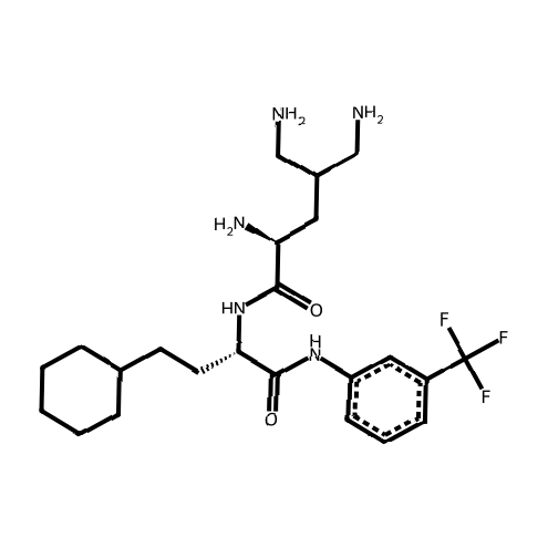 NCC(CN)C[C@H](N)C(=O)N[C@@H](CCC1CCCCC1)C(=O)Nc1cccc(C(F)(F)F)c1